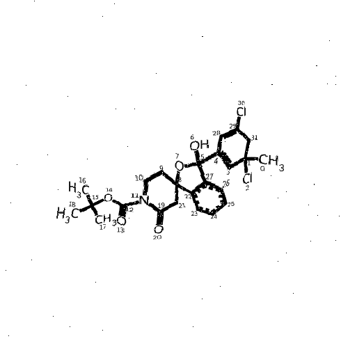 CC1(Cl)C=C(C2(O)OC3(CCN(C(=O)OC(C)(C)C)C(=O)C3)c3ccccc32)C=C(Cl)C1